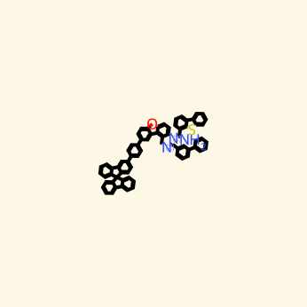 N/C(=N\C(=N/Cc1cccc2oc3ccc(-c4ccc(-c5ccc6c(c5)-c5ccccc5C65c6ccccc6-c6ccccc65)cc4)cc3c12)c1cccc(-c2ccccc2)c1)c1cccc2c1sc1ccccc12